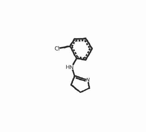 Clc1ccccc1NC1=NCCC1